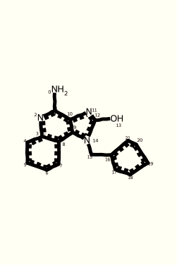 Nc1nc2ccccc2c2c1nc(O)n2Cc1ccccc1